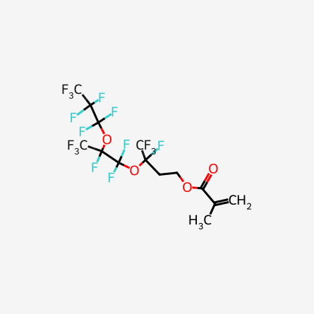 C=C(C)C(=O)OCCC(F)(OC(F)(F)C(F)(OC(F)(F)C(F)(F)C(F)(F)F)C(F)(F)F)C(F)(F)F